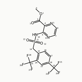 COC(=O)c1nccnc1NS(=O)(=O)Cc1ccc(C(F)(F)F)cc1C(F)(F)F